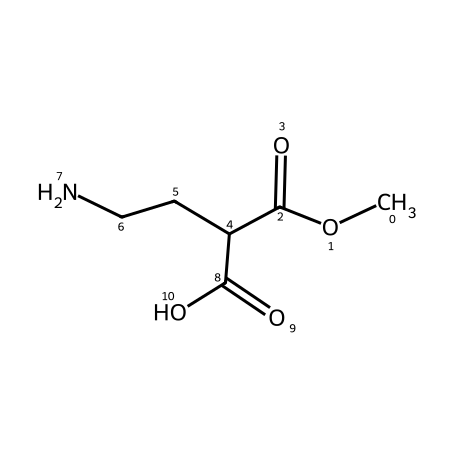 COC(=O)C(CCN)C(=O)O